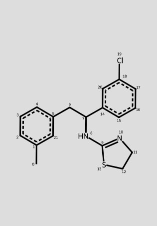 Cc1cccc(CC(NC2=NCCS2)c2cccc(Cl)c2)c1